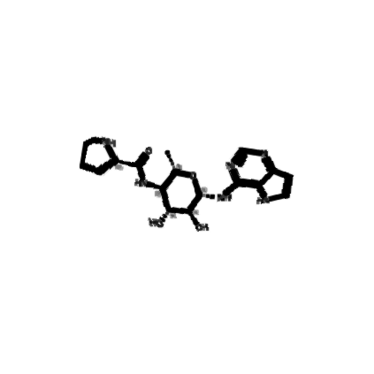 C[C@@H]1O[C@H](Nc2ncnc3cc[nH]c23)[C@@H](O)[C@H](O)[C@H]1NC(=O)[C@H]1CCCN1